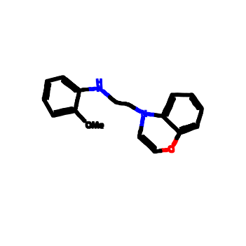 COc1ccccc1NCCN1C=COc2ccccc21